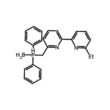 B[PH](Cc1cccc(-c2cccc(CC)n2)n1)(c1ccccc1)c1ccccc1